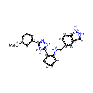 COc1cccc(-c2nnc(-c3ccccc3NCc3ccc4[nH]ncc4c3)[nH]2)c1